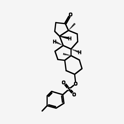 Cc1ccc(S(=O)(=O)OC2CC[C@@]3(C)C(CC[C@@H]4[C@H]3CC[C@]3(C)C(=O)CC[C@@H]43)C2)cc1